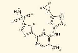 Cc1cnc(-c2ccc(S(N)(=O)=O)s2)nc1Nc1cc(C2CC2)[nH]n1